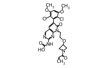 C=CC(=O)N1CC(OCCn2c(=O)c(-c3c(Cl)c(OC)cc(OC)c3Cl)cc3cnc(NC(=O)O)nc32)C1